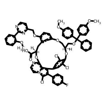 COc1ccc(C(OC[C@@H]2COc3ccc(OCc4ccnc(-c5ccccc5OC)n4)c(c3)C[C@H](C(=O)O)Oc3nccn4c(Cl)c(-c5ccc(F)cc5)c(c34)-c3cc(Cl)c(c(Cl)c3)O2)(c2ccccc2)c2ccc(OC)cc2)cc1